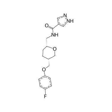 O=C(NC[C@H]1CC[C@@H](COc2ccc(F)cc2)CO1)c1cn[nH]c1